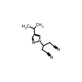 CC(C)c1cnn(C(CC#N)CC#N)c1